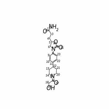 NC(=O)CCC1CN(c2ccc(C3CCN(C(=O)CO)CC3)cc2)C(=O)O1